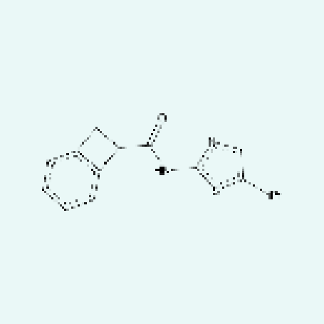 CC(C)c1cnc(NC(=O)C2Cc3ccccc32)s1